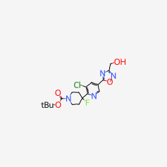 CC(C)(C)OC(=O)N1CCC(F)(c2ncc(-c3nc(CO)no3)cc2Cl)CC1